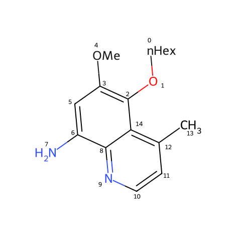 CCCCCCOc1c(OC)cc(N)c2nccc(C)c12